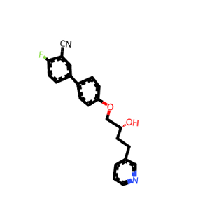 N#Cc1cc(-c2ccc(OC[C@H](O)CCc3cccnc3)cc2)ccc1F